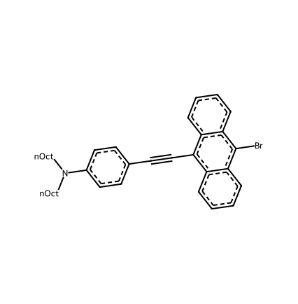 CCCCCCCCN(CCCCCCCC)c1ccc(C#Cc2c3ccccc3c(Br)c3ccccc23)cc1